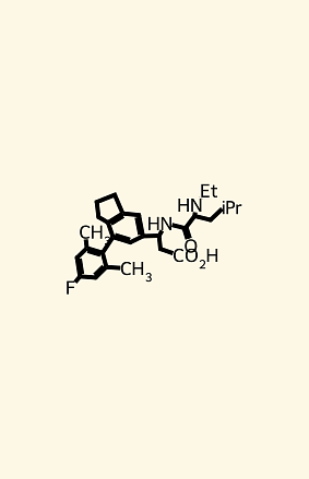 CCNC(CC(C)C)C(=O)NC(CC(=O)O)c1cc2c(c(-c3c(C)cc(F)cc3C)c1)CCC2